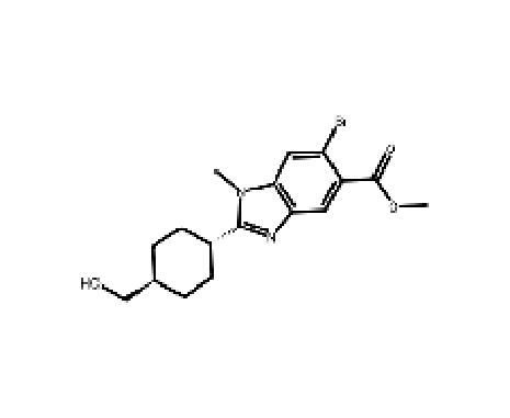 COC(=O)c1cc2nc([C@H]3CC[C@H](CO)CC3)n(C)c2cc1Br